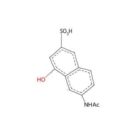 CC(=O)Nc1[c]c2c(O)cc(S(=O)(=O)O)cc2cc1